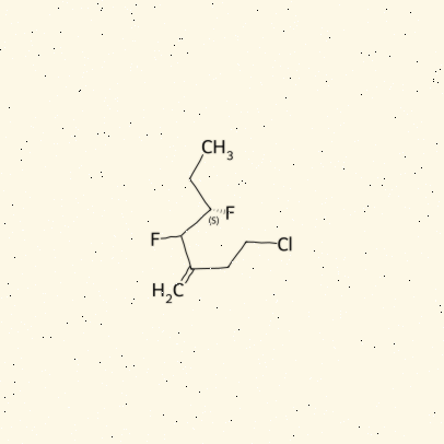 C=C(CCCl)C(F)[C@@H](F)CC